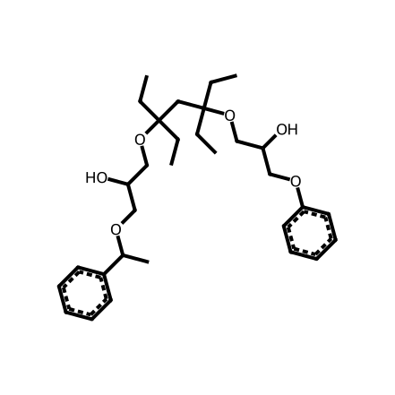 CCC(CC)(CC(CC)(CC)OCC(O)COC(C)c1ccccc1)OCC(O)COc1ccccc1